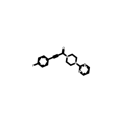 O=C(C#Cc1ccc(F)cc1)N1CCN(c2ncccn2)CC1